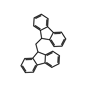 c1ccc2c(c1)-c1ccccc1C2CC1c2ccccc2-c2ccccc21